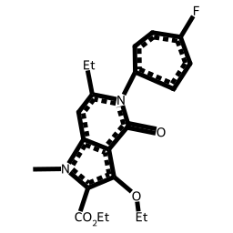 CCOC(=O)c1c(OCC)c2c(=O)n(-c3ccc(F)cc3)c(CC)cc2n1C